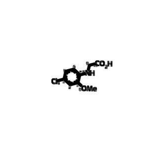 COc1cc(Cl)ccc1NCC(=O)O